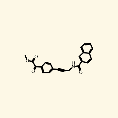 COC(=O)C(=O)c1ccc(C#CCNC(=O)c2ccc3ccccc3c2)cc1